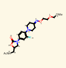 COCOCCON=C1CCN(c2ccc(N3CC(CNC(C)=O)OC3=O)cc2F)CC1